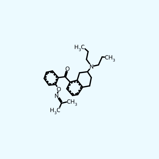 CCCN(CCC)C1CCc2cccc(C(=O)c3ccccc3ON=C(C)C)c2C1